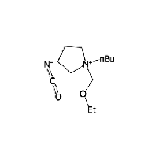 CCCC[N+]1(COCC)CCCC1.[N-]=C=O